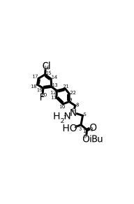 CC(C)COC(=O)C(O)CN(N)Cc1ccc(-c2cc(Cl)ccc2F)cc1